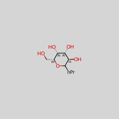 CCC[C]1O[C@H](CO)[C@H](O)[C@H](O)[C@H]1O